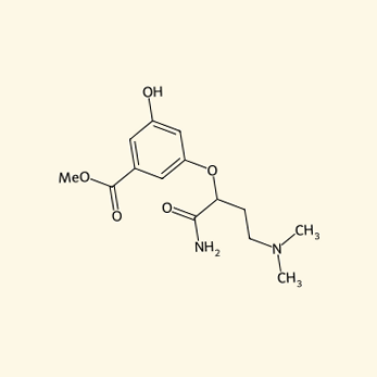 COC(=O)c1cc(O)cc(OC(CCN(C)C)C(N)=O)c1